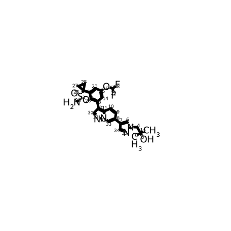 CC(C)(O)Cn1cc(-c2ccc3c(-c4cc(OC(F)F)cc(C5(S(N)(=O)=O)CC5)c4)cnn3c2)cn1